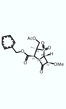 CO[C@H]1C(=O)N2[C@@H](C(=O)OCc3ccccc3)[C@@](C)(COC(C)=O)S(=O)(=O)[C@H]12